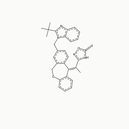 CC(=C1c2ccc(Cn3c(C(C)(C)C)nc4ccccc43)cc2COc2ccccc21)c1noc(=O)[nH]1